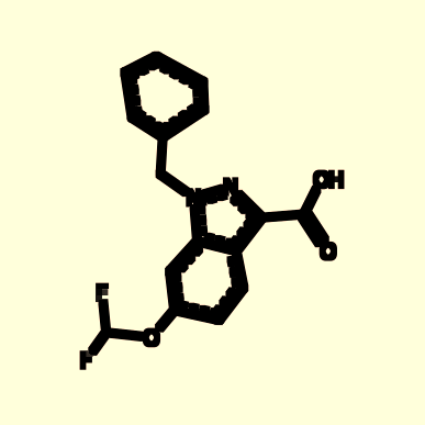 O=C(O)c1nn(Cc2ccccc2)c2cc(OC(F)F)ccc12